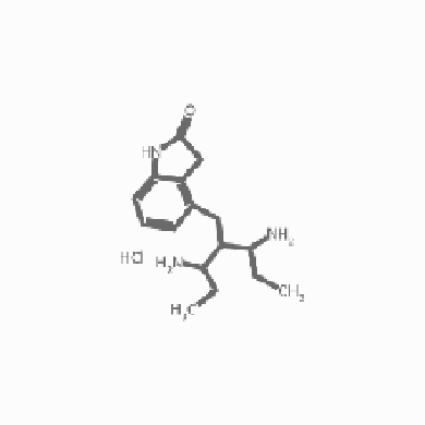 CCC(N)C(Cc1cccc2c1CC(=O)N2)C(N)CC.Cl